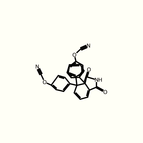 N#COc1ccc(C2(c3ccc(OC#N)cc3)C=CC=C3C(=O)NC(=O)C32c2ccccc2)cc1